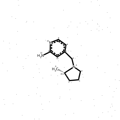 C[C@H]1CCCN1Cc1ccnc(N)c1